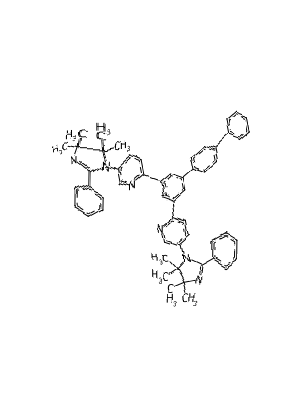 CC1(C)N=C(c2ccccc2)N(c2ccc(-c3cc(-c4ccc(-c5ccccc5)cc4)cc(-c4ccc(N5C(c6ccccc6)=NC(C)(C)C5(C)C)cn4)c3)nc2)C1(C)C